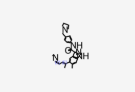 C=N/C=C\C=C(/C)c1cc2c(C(=O)Nc3ccc(CN4CCCC4)cc3)n[nH]c2cc1C